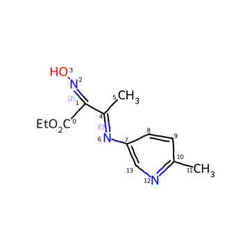 CCOC(=O)C(=N\O)/C(C)=N/c1ccc(C)nc1